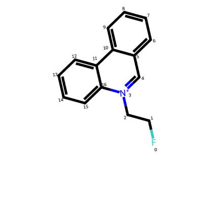 FCC[n+]1cc2ccccc2c2ccccc21